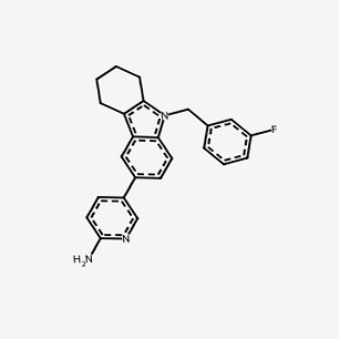 Nc1ccc(-c2ccc3c(c2)c2c(n3Cc3cccc(F)c3)CCCC2)cn1